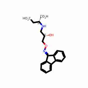 O=C(O)C[C@@H](NC[C@H](O)CON=C1c2ccccc2-c2ccccc21)C(=O)O